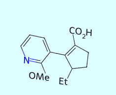 CCC1CCC(C(=O)O)=C1c1cccnc1OC